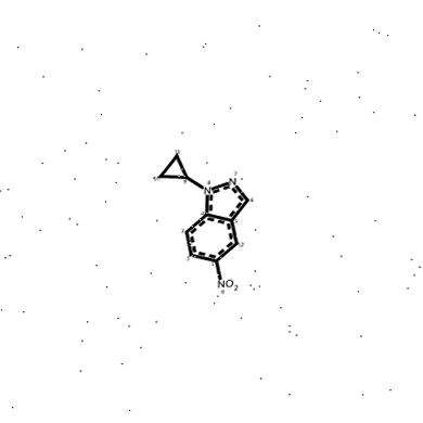 O=[N+]([O-])c1ccc2c(cnn2C2CC2)c1